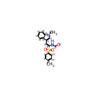 Cc1ccc(S(=O)(=O)/C(=C/c2cn(C)c3ccccc23)NC=O)cc1